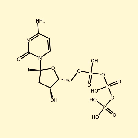 Nc1ccn([C@@]2(I)C[C@H](O)[C@@H](COP(=O)(O)OP(=O)(O)OP(=O)(O)O)O2)c(=O)n1